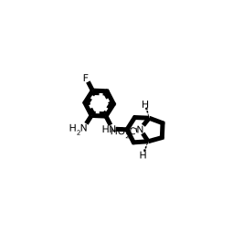 Nc1cc(F)ccc1NC1C[C@H]2CC[C@@H](C1)N2C(=O)O